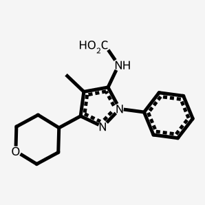 Cc1c(C2CCOCC2)nn(-c2ccccc2)c1NC(=O)O